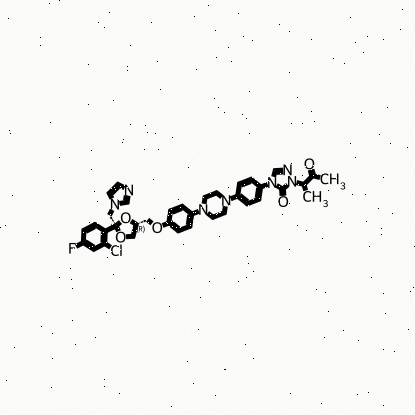 CC(=O)C(C)n1ncn(-c2ccc(N3CCN(c4ccc(OC[C@@H]5CO[C@@](Cn6ccnc6)(c6ccc(F)cc6Cl)O5)cc4)CC3)cc2)c1=O